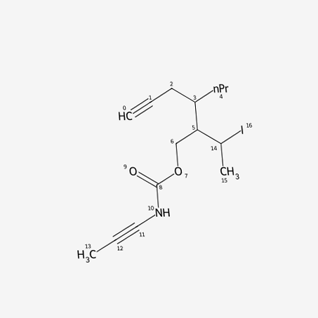 C#CCC(CCC)C(COC(=O)NC#CC)C(C)I